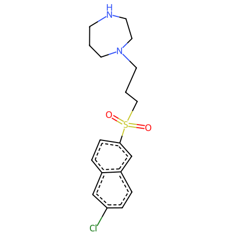 O=S(=O)(CCCN1CCCNCC1)c1ccc2cc(Cl)ccc2c1